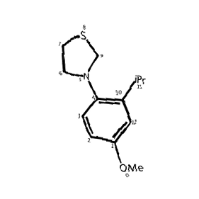 COc1ccc(N2CCSC2)c(C(C)C)c1